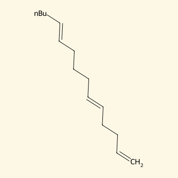 C=CCCC=CCCCC=CCCCC